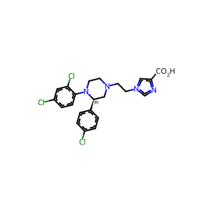 O=C(O)c1cn(CCN2CCN(c3ccc(Cl)cc3Cl)[C@H](c3ccc(Cl)cc3)C2)cn1